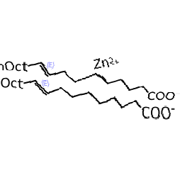 CCCCCCCC/C=C/CCCCCCCC(=O)[O-].CCCCCCCC/C=C/CCCCCCCC(=O)[O-].[Zn+2]